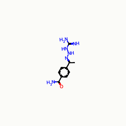 CC(=NNNC(=N)N)c1ccc(C(N)=O)cc1